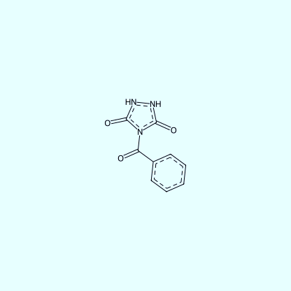 O=C(c1ccccc1)n1c(=O)[nH][nH]c1=O